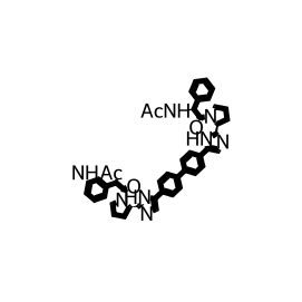 CC(=O)N[C@@H](C(=O)N1CCC[C@H]1c1ncc(-c2ccc(-c3ccc(-c4cnc([C@@H]5CCCN5C(=O)[C@H](NC(C)=O)c5ccccc5)[nH]4)cc3)cc2)[nH]1)c1ccccc1